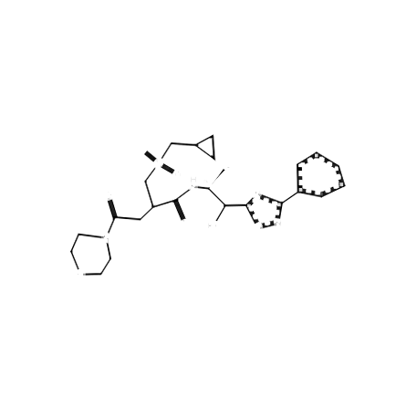 CC[C@H](NC(=O)C(CC(=O)N1CCOCC1)CS(=O)(=O)CC1CC1)C(O)c1nc(-c2ccccc2)no1